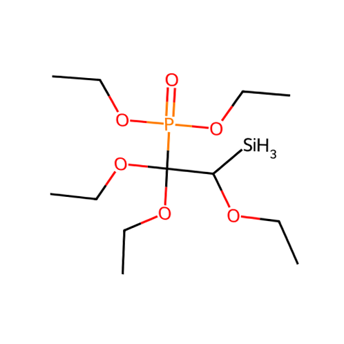 CCOC([SiH3])C(OCC)(OCC)P(=O)(OCC)OCC